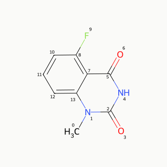 Cn1c(=O)[nH]c(=O)c2c(F)cccc21